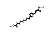 CCCCCC(=O)/C=C/c1ccc(CCCCCCCCC(=O)OC)s1